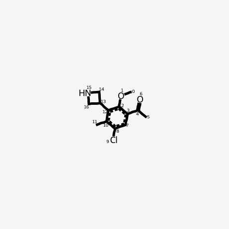 COc1c(C(C)=O)cc(Cl)c(C)c1C1CNC1